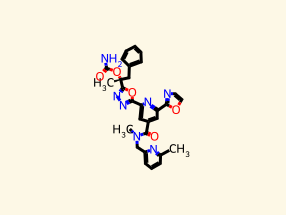 Cc1cccc(CN(C)C(=O)c2cc(-c3ncco3)nc(-c3nnc([C@@](C)(Cc4ccccc4)OC(N)=O)o3)c2)n1